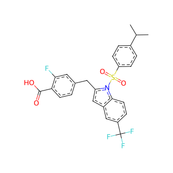 CC(C)c1ccc(S(=O)(=O)n2c(Cc3ccc(C(=O)O)c(F)c3)cc3cc(C(F)(F)F)ccc32)cc1